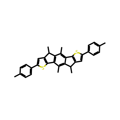 Cc1ccc(-c2cc3c(s2)-c2c(C)c4c(c(C)c2C3C)-c2sc(-c3ccc(C)cc3)cc2C4C)cc1